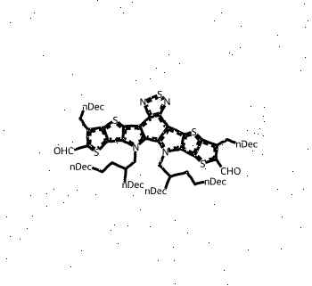 CCCCCCCCCCCCC(CCCCCCCCCC)Cn1c2c3sc(C=O)c(CCCCCCCCCCC)c3sc2c2c3nsnc3c3c4sc5c(CCCCCCCCCCC)c(C=O)sc5c4n(CC(CCCCCCCCCC)CCCCCCCCCCCC)c3c21